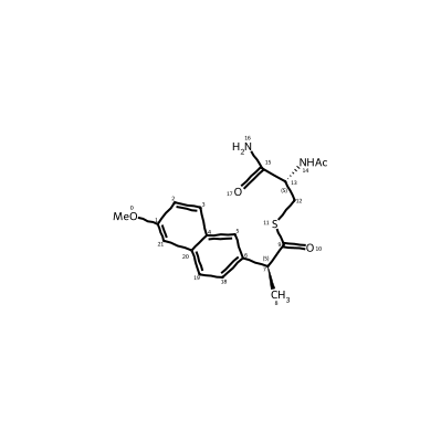 COc1ccc2cc([C@H](C)C(=O)SC[C@@H](NC(C)=O)C(N)=O)ccc2c1